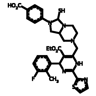 CCOC(=O)C1=C(CN2CCN3C(C2)CN(c2ccc(C(=O)O)cc2)C3S)NC(c2nccs2)=NC1c1cccc(F)c1C